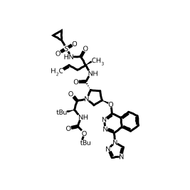 C=CC[C@@](C)(NC(=O)[C@@H]1C[C@@H](Oc2nnc(-n3cncn3)c3ccccc23)CN1C(=O)[C@@H](NC(=O)OC(C)(C)C)C(C)(C)C)C(=O)NS(=O)(=O)C1CC1